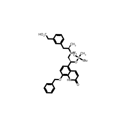 C[C@H](Cc1cccc(CC(=O)O)c1)NC[C@@H](O[Si](C)(C)C(C)(C)C)c1ccc(OCc2ccccc2)c2[nH]c(=O)ccc12